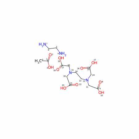 CC(=O)O.NCCN.O=C(O)CN(CCN(CC(=O)O)CC(=O)O)CC(=O)O